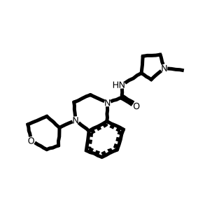 CN1CCC(NC(=O)N2CCN(C3CCOCC3)c3ccccc32)C1